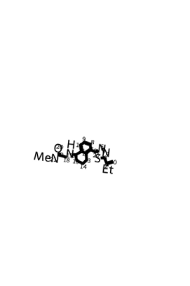 C=C(CC)c1nnc(-c2cccc3c2CCCC3NCC(=O)NC)s1